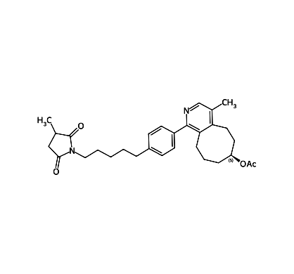 CC(=O)O[C@H]1CCCc2c(-c3ccc(CCCCCN4C(=O)CC(C)C4=O)cc3)ncc(C)c2CC1